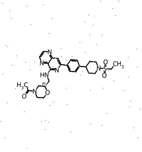 CCS(=O)(=O)N1CCC(c2ccc(-c3cc4nccnc4c(NC[C@@H]4CN(C(C)=O)CCO4)n3)cc2)CC1